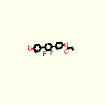 C=CC(=O)Oc1ccc(-c2ccc(-c3ccc(OC)cc3)c(F)c2F)cc1